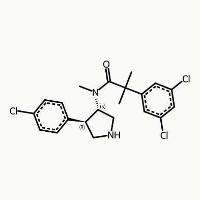 CN(C(=O)C(C)(C)c1cc(Cl)cc(Cl)c1)[C@@H]1CNC[C@H]1c1ccc(Cl)cc1